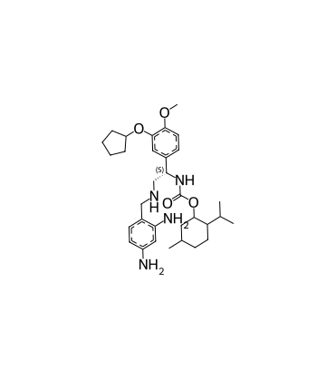 COc1ccc([C@@H](CNCc2ccc(N)cc2N)NC(=O)OC2CC(C)CCC2C(C)C)cc1OC1CCCC1